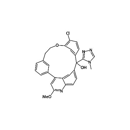 COc1cc2c3cc(ccc3n1)C(O)(c1nncn1C)c1ccc(Cl)c(c1)OCCc1cccc-2c1